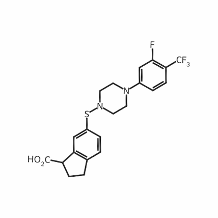 O=C(O)C1CCc2ccc(SN3CCN(c4ccc(C(F)(F)F)c(F)c4)CC3)cc21